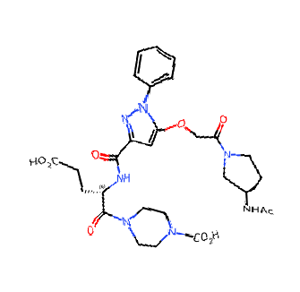 CC(=O)NC1CCN(C(=O)COc2cc(C(=O)N[C@@H](CCC(=O)O)C(=O)N3CCN(C(=O)O)CC3)nn2-c2ccccc2)C1